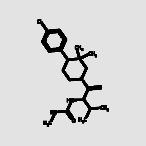 CNC(=O)N[C@@H](C(=O)N1CCC(c2ccc(Cl)cc2)C(C)(C)C1)C(C)C